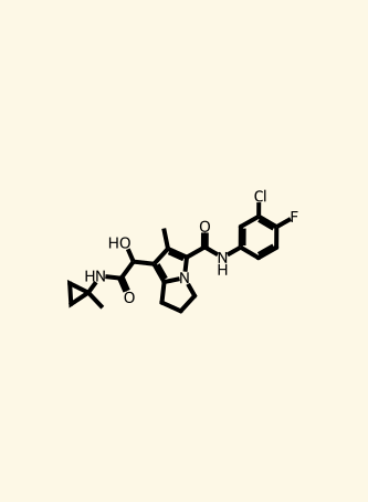 Cc1c(C(O)C(=O)NC2(C)CC2)c2n(c1C(=O)Nc1ccc(F)c(Cl)c1)CCC2